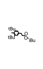 CC[C@@H](C)COC(=O)CCc1cc(C(C)(C)C)c(C)c(C(C)(C)C)c1